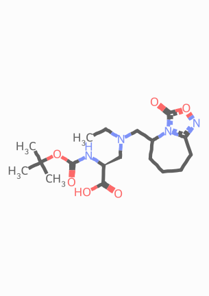 CCN(CC1CCCCc2noc(=O)n21)C[C@H](NC(=O)OC(C)(C)C)C(=O)O